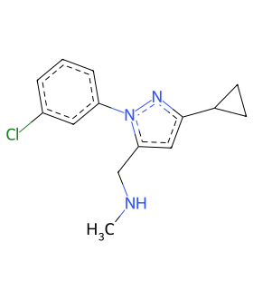 CNCc1cc(C2CC2)nn1-c1cccc(Cl)c1